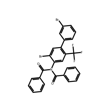 O=C(c1ccccc1)N(C(=O)c1ccccc1)c1cc(C(F)(F)F)c(-c2cccc(Br)c2)cc1Br